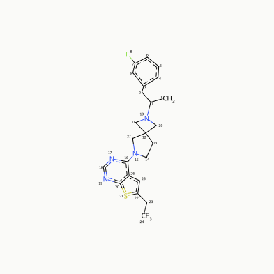 CC(Cc1cccc(F)c1)N1CC2(CCN(c3ncnc4sc(CC(F)(F)F)cc34)C2)C1